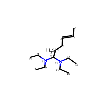 CC=CC[SiH2]C(N(CC)CC)N(CC)CC